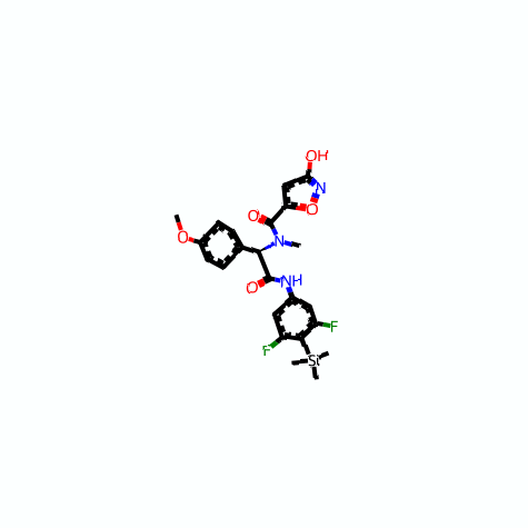 COc1ccc([C@H](C(=O)Nc2cc(F)c([Si](C)(C)C)c(F)c2)N(C)C(=O)c2cc(O)no2)cc1